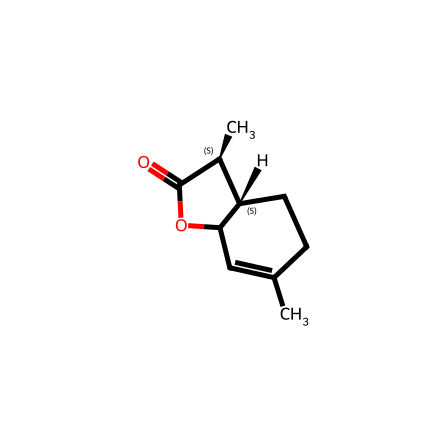 CC1=CC2OC(=O)[C@@H](C)[C@@H]2CC1